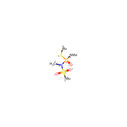 CCCCS(=O)(=O)N(C)P(=O)(NC)SC(C)CC